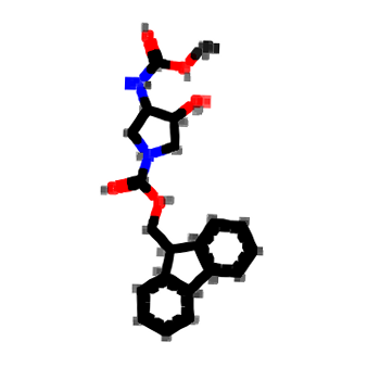 CC(C)(C)OC(=O)NC1CN(C(=O)OCC2c3ccccc3-c3ccccc32)CC1O